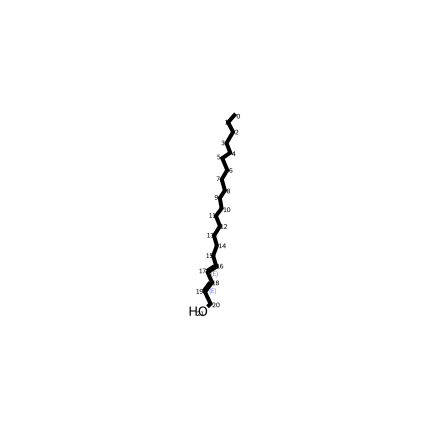 CCCCCCCCCCCCCCCC/C=C/C=C/CO